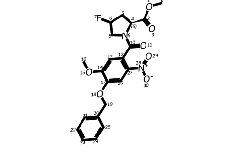 COC(=O)[C@@H]1CC(F)CN1C(=O)c1cc(OC)c(OCc2ccccc2)cc1[N+](=O)[O-]